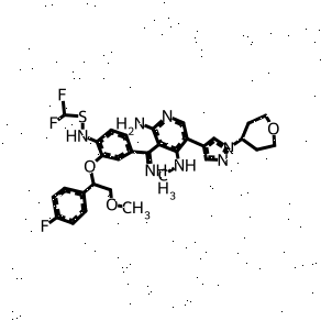 CNc1c(-c2cnn(C3CCOCC3)c2)cnc(N)c1C(=N)c1ccc(NSC(F)F)c(OC(COC)c2ccc(F)cc2)c1